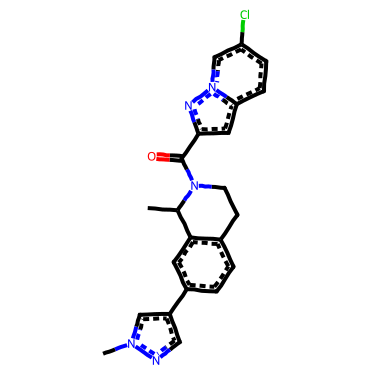 CC1c2cc(-c3cnn(C)c3)ccc2CCN1C(=O)c1cc2ccc(Cl)cn2n1